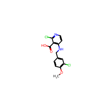 COc1ccc(CNc2ccnc(Cl)c2C(=O)O)cc1Cl